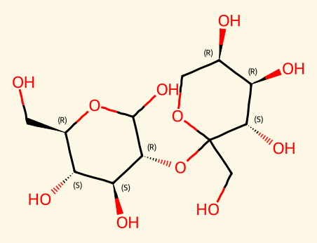 OC[C@H]1OC(O)[C@H](OC2(CO)OC[C@@H](O)[C@@H](O)[C@@H]2O)[C@@H](O)[C@@H]1O